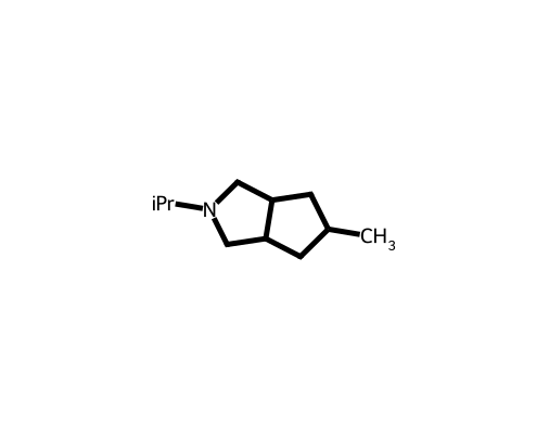 CC1CC2CN(C(C)C)CC2C1